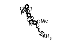 COc1cc2c(Oc3ccc(NS(=O)(=O)c4c(Cl)cccc4Cl)cc3Cl)ccnc2cc1OCCCN1CCN(C)CC1